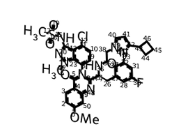 COc1ccc2c(=O)n(-c3ccc(Cl)c4c(NS(C)(=O)=O)nn(C)c34)c([C@H](Cc3cc(F)cc(F)c3)NC(=O)Cn3ccc(C4CCC4)n3)nc2c1